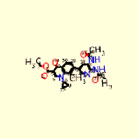 CCOC(=O)c1cn(C2CC2)c2c(C)c(-c3cnc(NC(C)=O)c(NC(C)=O)c3)ccc2c1=O